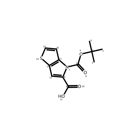 CC(C)(C)OC(=O)n1c(C(=O)O)cc2sccc21